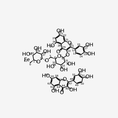 C[C@@H]1O[C@@H](OC[C@H]2O[C@@H](Oc3c(-c4ccc(O)c(O)c4)oc4cc(O)cc(O)c4c3=O)[C@H](O)[C@@H](O)[C@@H]2O)[C@H](O)[C@H](O)[C@H]1O.O=c1c(O)c(-c2ccc(O)c(O)c2)oc2cc(O)cc(O)c12.[Fe]